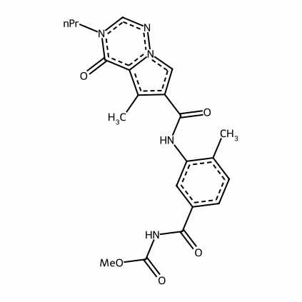 CCCn1cnn2cc(C(=O)Nc3cc(C(=O)NC(=O)OC)ccc3C)c(C)c2c1=O